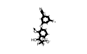 COc1c(Oc2cc(F)cc(C#N)c2)ccc2c1C(O)C(F)(F)[S+]2[O-]